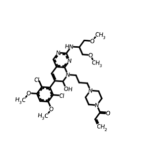 C=CC(=O)N1CCN(CCCN2c3nc(NC(COC)COC)ncc3C=C(c3c(Cl)c(OC)cc(OC)c3Cl)C2O)CC1